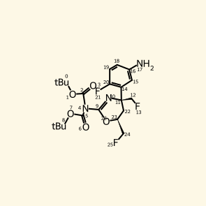 CC(C)(C)OC(=O)N(C(=O)OC(C)(C)C)C1=N[C@](CF)(c2cc(N)ccc2F)C[C@@H](CF)O1